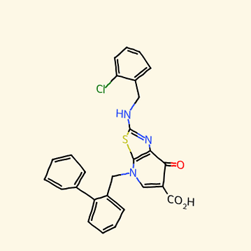 O=C(O)c1cn(Cc2ccccc2-c2ccccc2)c2sc(NCc3ccccc3Cl)nc2c1=O